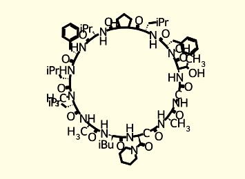 CC[C@H](C)[C@@H]1NC(=O)[C@H](C)NC(=O)[C@H](CC(C)C)N(C)C(=O)[C@H](CC(C)C)NC(=O)[C@H](Cc2ccccc2)NC(=O)[C@H](C(C)C)NC(=O)[C@@H]2CCCC2C(=O)[C@H](CC(C)C)NC(=O)[C@H](Cc2ccccc2)N(C)C(=O)[C@H]([C@@H](C)O)NC(=O)CNC(=O)[C@H](C)NC(=O)C[C@@H](C(=O)N2CCCCC2)NC1=O